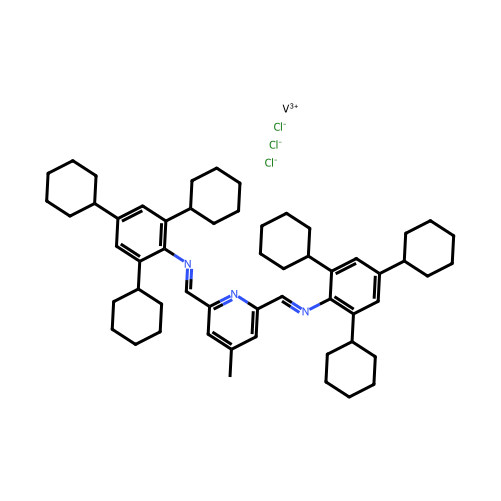 Cc1cc(C=Nc2c(C3CCCCC3)cc(C3CCCCC3)cc2C2CCCCC2)nc(C=Nc2c(C3CCCCC3)cc(C3CCCCC3)cc2C2CCCCC2)c1.[Cl-].[Cl-].[Cl-].[V+3]